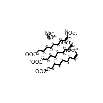 CCCCCCCC/C=C\CCCCCCCC(=O)[O-].CCCCCCCC/C=C\CCCCCCCC(=O)[O-].CCCCCCCC/C=C\CCCCCCCC(=O)[O-].[Na+].[Na+].[Na+]